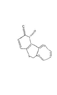 O=C1C=Cc2sc3ccccc3c2C1=O